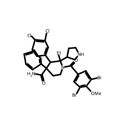 CCC1(C2CCNC2)C(c2ccc(Cl)c(Cl)c2)C(C(N)=O)(c2ccccc2)CCN1C(=O)c1cc(Br)c(OC)c(Br)c1